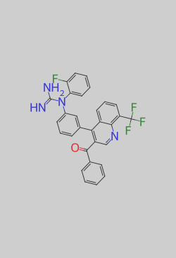 N=C(N)N(c1cccc(-c2c(C(=O)c3ccccc3)cnc3c(C(F)(F)F)cccc23)c1)c1ccccc1F